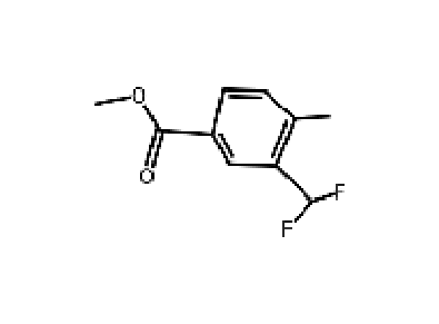 COC(=O)c1ccc(C)c(C(F)F)c1